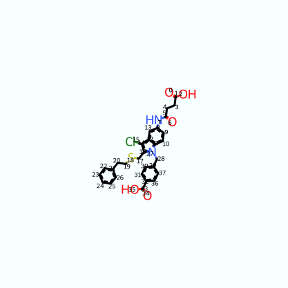 O=C(O)CCC(=O)Nc1ccc2c(c1)c(Cl)c(CSCCc1ccccc1)n2Cc1ccc(C(=O)O)cc1